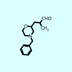 CC(C=O)CC1CN(Cc2ccccc2)CCO1